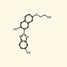 N#Cc1ccc2nn(-c3cc4cc(OCCO)ccc4cc3O)nc2c1